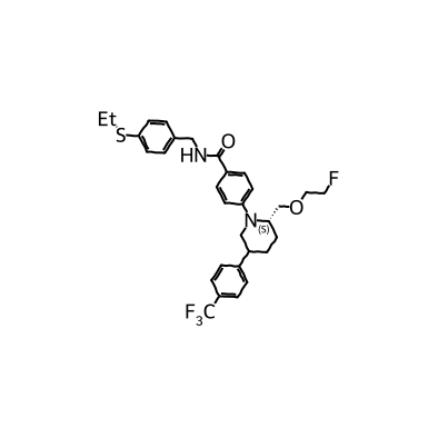 CCSc1ccc(CNC(=O)c2ccc(N3CC(c4ccc(C(F)(F)F)cc4)CC[C@H]3COCCF)cc2)cc1